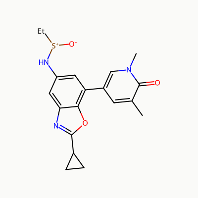 CC[S+]([O-])Nc1cc(-c2cc(C)c(=O)n(C)c2)c2oc(C3CC3)nc2c1